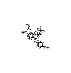 CSCC[C@@H](NC(=O)[C@@H](Cc1ccc(O)cc1)NC(=O)OC(C)(C)C)C(=O)O